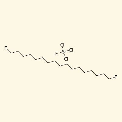 FCCCCCCCCCCCCCCCCCF.F[Si](Cl)(Cl)Cl